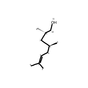 CC(C)=CC[C@H](C)C[C@H](C)CO